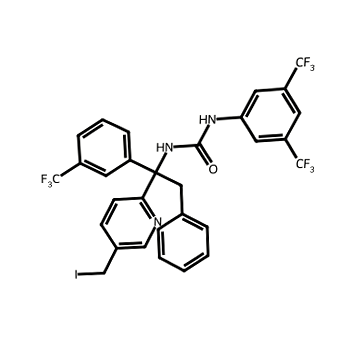 O=C(Nc1cc(C(F)(F)F)cc(C(F)(F)F)c1)NC(Cc1ccccc1)(c1cccc(C(F)(F)F)c1)c1ccc(CI)cn1